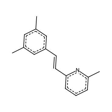 Cc1cc(C)cc(/C=C/c2cccc(C)n2)c1